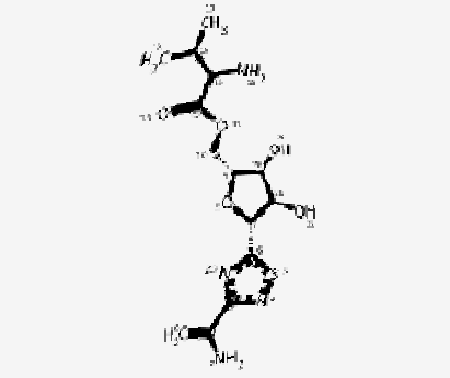 C=C(N)c1nsc([C@@H]2O[C@H](COC(=O)C(N)C(C)C)[C@@H](O)[C@H]2O)n1